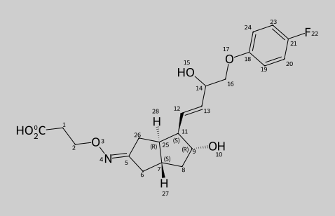 O=C(O)CCON=C1C[C@H]2C[C@@H](O)[C@H](C=CC(O)COc3ccc(F)cc3)[C@@H]2C1